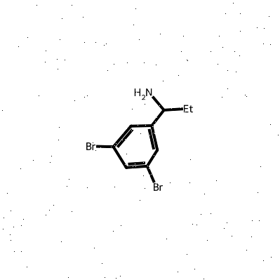 CCC(N)c1cc(Br)cc(Br)c1